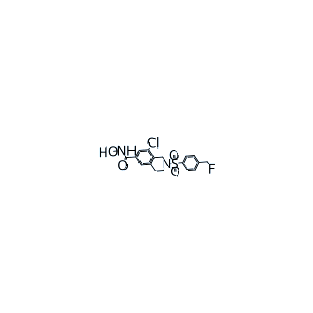 O=C(NO)c1cc(Cl)c2c(c1)CCN(S(=O)(=O)c1ccc(CF)cc1)C2